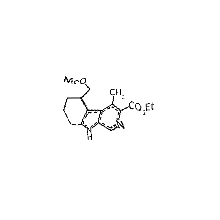 CCOC(=O)c1ncc2[nH]c3c(c2c1C)C(COC)CCC3